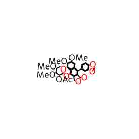 COc1cc2c(O[C@@H]3OC[C@@H](OC)[C@H](OC)[C@H]3OC(C)=O)c3c(c(-c4ccc5c(c4)OCO5)c2cc1OC)C(=O)OC3